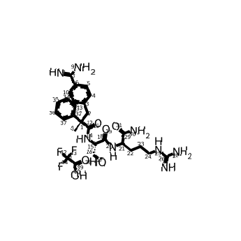 C[C@@](Cc1ccc(C(=N)N)cc1)(C(=O)N[C@@H](CO)C(=O)NC(CCCNC(=N)N)C(N)=O)c1ccccc1.O=C(O)C(F)(F)F